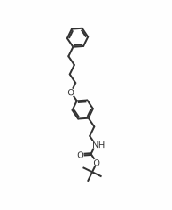 CC(C)(C)OC(=O)NCCc1ccc(OCCCCc2ccccc2)cc1